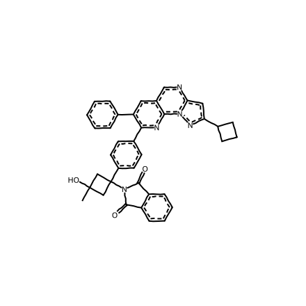 CC1(O)CC(c2ccc(-c3nc4c(cnc5cc(C6CCC6)nn54)cc3-c3ccccc3)cc2)(N2C(=O)c3ccccc3C2=O)C1